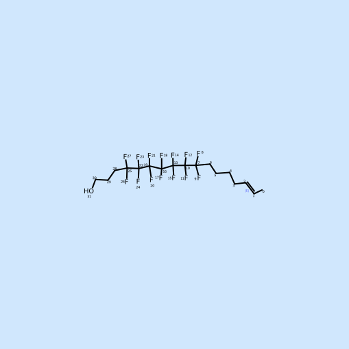 C/C=C/CCCCC(F)(F)C(F)(F)C(F)(F)C(F)(F)C(F)(F)C(F)(F)C(F)(F)CCCO